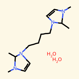 CC1N(C)C=CN1CCCCN1C=CN(C)C1C.O.O